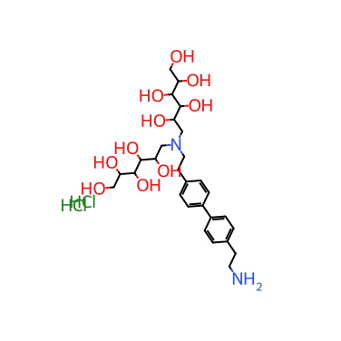 Cl.Cl.NCCc1ccc(-c2ccc(CCN(CC(O)C(O)C(O)C(O)CO)CC(O)C(O)C(O)C(O)CO)cc2)cc1